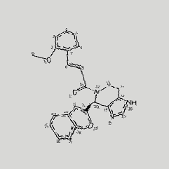 COc1ccccc1/C=C/C(=O)N1CCc2[nH]cnc2[C@H]1c1cc2ccccc2o1